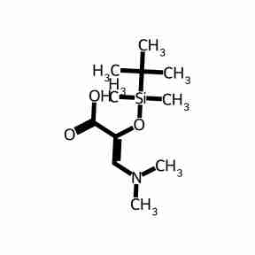 CN(C)C=C(O[Si](C)(C)C(C)(C)C)C(=O)O